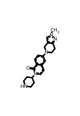 Cn1cc2c(n1)CCN(c1ccc3c(=O)n(C4CCNCC4)ccc3c1)C2